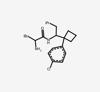 CCC(C)C(N)C(=O)NC(CC(C)C)C1(c2ccc(Cl)cc2)CCC1